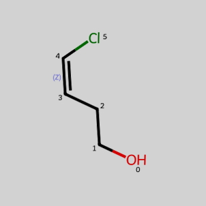 OCC/C=C\Cl